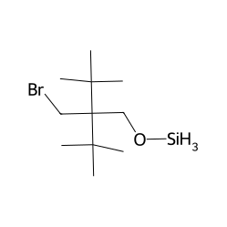 CC(C)(C)C(CBr)(CO[SiH3])C(C)(C)C